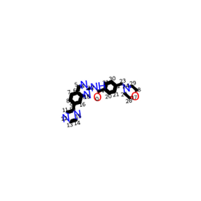 O=C(Nc1ncc2ccc(-c3cnccn3)cc2n1)c1ccc(CN2CCOCC2)cc1